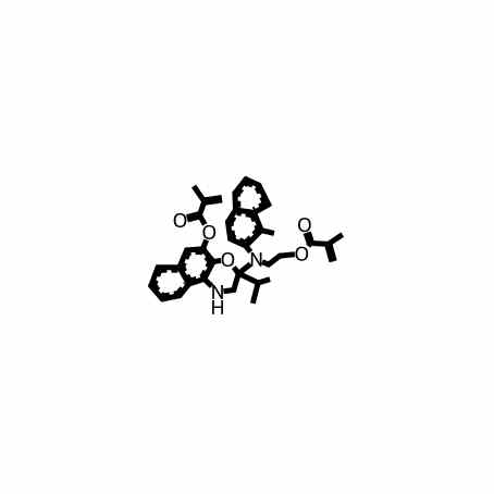 C=C(C)C(=O)OCCN(c1ccc2ccccc2c1C)C1(C(C)C)CNc2c(c(OC(=O)C(=C)C)cc3ccccc23)O1